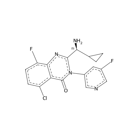 N[C@H](c1nc2c(F)ccc(Cl)c2c(=O)n1-c1cncc(F)c1)C1CC1